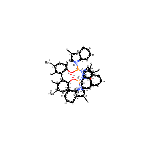 Cc1c(C(C)(C)C)cc(C(C)(C)C)c(OP(n2cc(C)c3ccccc32)n2cc(C)c3ccccc32)c1-c1c(C)c(C(C)(C)C)cc(C(C)(C)C)c1OP(n1cc(C)c2ccccc21)n1cc(C)c2ccccc21